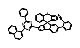 N#Cc1ccccc1-c1ccc2c(c1)C1(c3ccccc3Sc3ccccc31)c1cc(-c3nc(-c4ccccc4)nc(-c4cccc5ccccc45)n3)ccc1-2